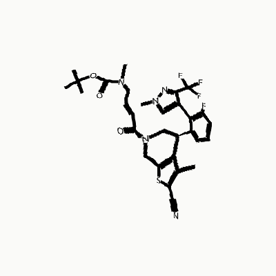 Cc1c(C#N)sc2c1[C@H](c1cccc(F)c1-c1cn(C)nc1C(F)(F)F)CN(C(=O)/C=C/CN(C)C(=O)OC(C)(C)C)C2